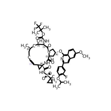 COc1ccc2c(O[C@@H]3C[C@H]4C(=O)N[C@]5(C(=O)NS(=O)(=O)C6(C)CC6)CC5/C=C\CC[C@@H](C)C[C@@H](C)[C@H](NC(=O)OC(C)(C)C(F)(F)F)C(=O)N4C3)nc(-c3ccc(OC(C)C)c(F)c3)cc2c1